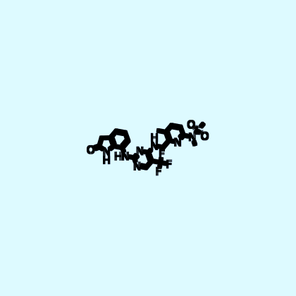 Cc1ccc(N(C)S(C)(=O)=O)nc1CNc1nc(Nc2cccc3c2NC(=O)C3)ncc1C(F)(F)F